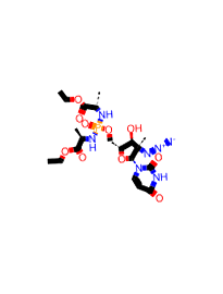 CCOC(=O)[C@H](C)NP(=O)(N[C@H](C)C(=O)OCC)OC[C@H]1O[C@@H](n2ccc(=O)[nH]c2=O)[C@](C)(N=[N+]=[N-])[C@@H]1O